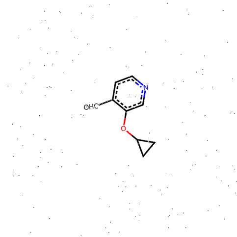 O=Cc1ccncc1OC1CC1